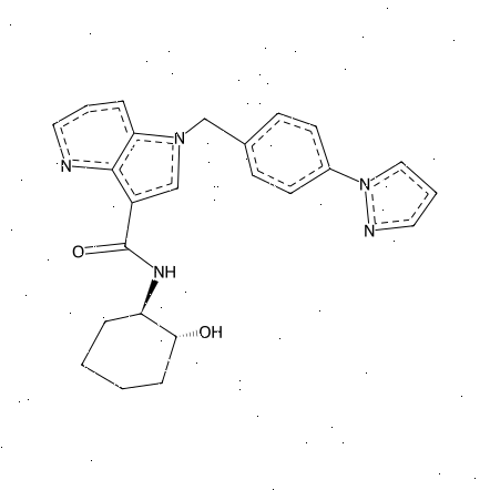 O=C(N[C@@H]1CCCC[C@H]1O)c1cn(Cc2ccc(-n3cccn3)cc2)c2cccnc12